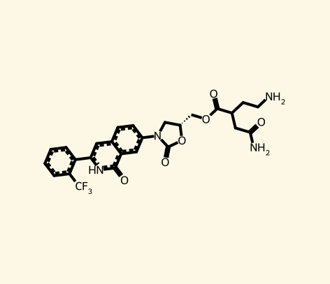 NCCC(CC(N)=O)C(=O)OC[C@H]1CN(c2ccc3cc(-c4ccccc4C(F)(F)F)[nH]c(=O)c3c2)C(=O)O1